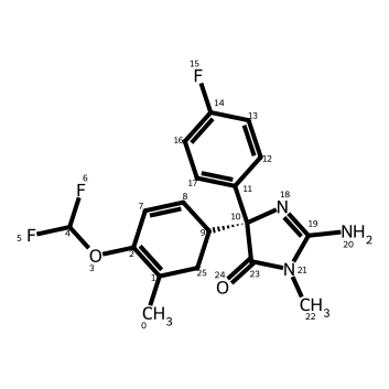 CC1=C(OC(F)F)C=CC([C@]2(c3ccc(F)cc3)N=C(N)N(C)C2=O)C1